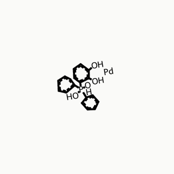 Oc1cccc(P(O)(O)(c2ccccc2)c2ccccc2)c1O.[Pd]